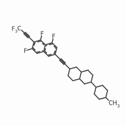 CC1CCC(C2CCC3CC(C#Cc4cc(F)c5c(F)c(C#CC(F)(F)F)c(F)cc5c4)CCC3C2)CC1